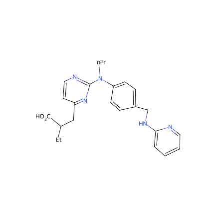 CCCN(c1ccc(CNc2ccccn2)cc1)c1nccc(CC(CC)C(=O)O)n1